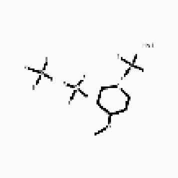 COC1CCOCC1.F[B-](F)(F)F.F[B-](F)(F)F.F[B-](F)(F)F.[NaH]